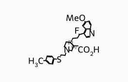 COc1ccc2nccc(C(F)CC[C@@H]3CCN(CCSc4ccc(C)cc4)C[C@@H]3CC(=O)O)c2c1